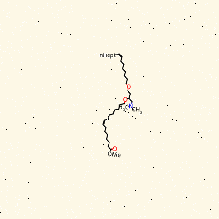 CCCCCCC/C=C\CCCCCCCOCCC(CN(C)C)OCCCCCCC/C=C\CCCCCCC(=O)OC